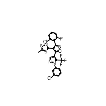 Cc1nnc(-c2c(-c3c(F)cccc3Cl)noc2-c2cnn(-c3cccc(Cl)c3)c2C(F)(F)F)s1